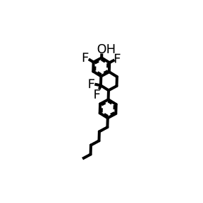 CCCCCCc1ccc(C2CCc3c(cc(F)c(O)c3F)C2(F)F)cc1